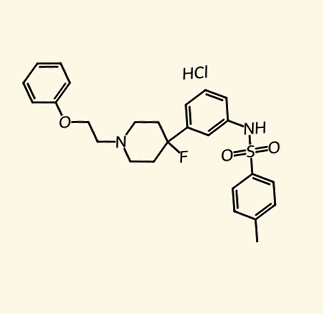 Cc1ccc(S(=O)(=O)Nc2cccc(C3(F)CCN(CCOc4ccccc4)CC3)c2)cc1.Cl